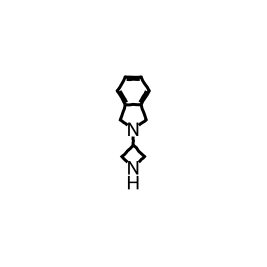 c1ccc2c(c1)CN(C1CNC1)C2